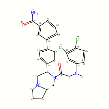 CN(CC(=O)N(C)C(CN1CCCC1)c1ccc(-c2cccc(C(N)=O)c2)cc1)c1ccc(Cl)c(Cl)c1